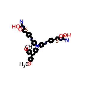 COc1ccc(C(=Cc2ccc(N(c3ccc(/C=C/c4ccc(-c5ccc(/C=C(/C#N)C(=O)O)s5)cc4)cc3)c3ccc(/C=C/c4ccc(-c5ccc(/C=C(/C#N)C(=O)O)s5)cc4)cc3)cc2)c2ccc(OC)cc2)cc1